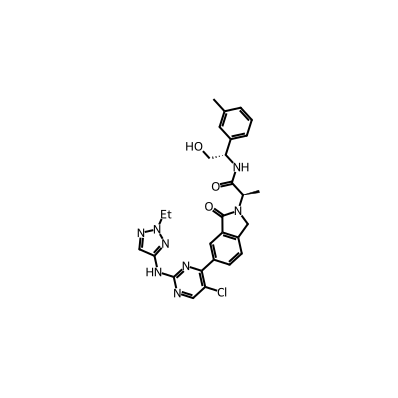 CCn1ncc(Nc2ncc(Cl)c(-c3ccc4c(c3)C(=O)N([C@H](C)C(=O)N[C@H](CO)c3cccc(C)c3)C4)n2)n1